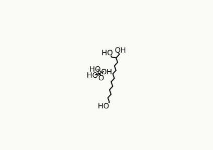 O=P(O)(O)O.OCCCCCCCCCCCC(CO)CO